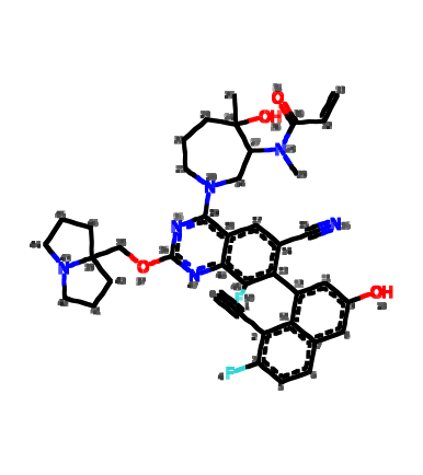 C#Cc1c(F)ccc2cc(O)cc(-c3c(C#N)cc4c(N5CCCC(C)(O)C(N(C)C(=O)C=C)C5)nc(OCC56CCCN5CCC6)nc4c3F)c12